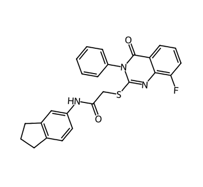 O=C(CSc1nc2c(F)cccc2c(=O)n1-c1ccccc1)Nc1ccc2c(c1)CCC2